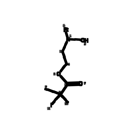 CCN(O)CCOC(=O)C(C)(C)I